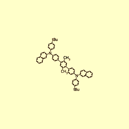 Cc1cc(-c2ccc(N(c3ccc(C(C)(C)C)cc3)c3ccc4ccccc4c3)cc2)c(C)cc1-c1ccc(N(c2ccc(C(C)(C)C)cc2)c2ccc3ccccc3c2)cc1